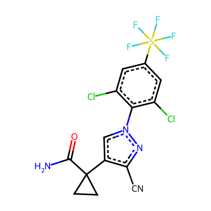 N#Cc1nn(-c2c(Cl)cc(S(F)(F)(F)(F)F)cc2Cl)cc1C1(C(N)=O)CC1